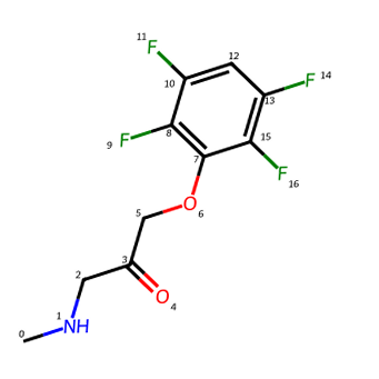 CNCC(=O)COc1c(F)c(F)cc(F)c1F